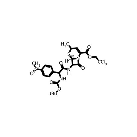 CC1C=C(C(=O)OCC(Cl)(Cl)Cl)N2C(=O)C(NC(=O)C(NC(=O)OC(C)(C)C)c3ccc([S+](C)[O-])cc3)[C@H]2S1